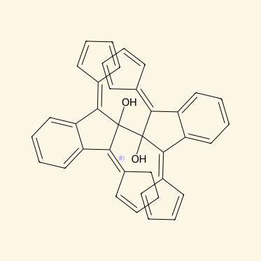 OC1(C2(O)C(=C3C=CC=C3)c3ccccc3/C2=C2\C=CCC2)C(=C2C=CC=C2)c2ccccc2C1=C1C=CC=C1